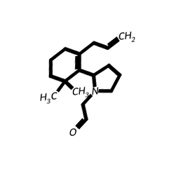 C=CCC1=C(C2CCCN2CC=O)C(C)(C)CCC1